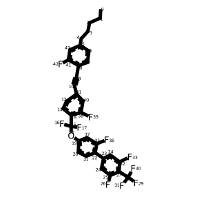 CCCCCc1ccc(C#Cc2ccc(C(F)(F)Oc3ccc(-c4cc(F)c(C(F)(F)F)c(F)c4)c(F)c3)c(F)c2)c(F)c1